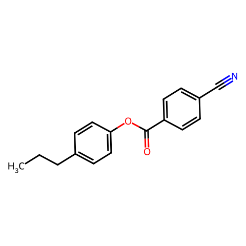 CCCc1ccc(OC(=O)c2ccc(C#N)cc2)cc1